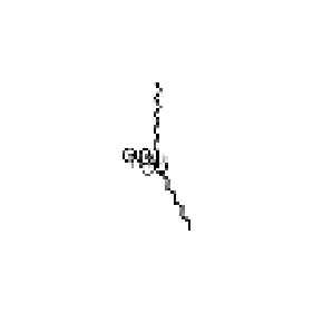 CCCCCCCCCC[N+]([O-])(OCCCCCCCCC)ON=O